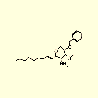 CCCCCCC/C=C/[C@@H]1OC[C@@H](OCc2ccccc2)[C@H](OC)[C@@H]1N